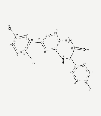 Cc1ccc(C(Nc2cncc(-c3cc(Cl)ccc3F)c2)C(N)=O)cc1